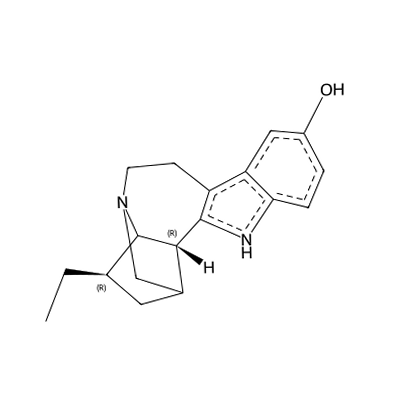 CC[C@@H]1CC2CN3CCc4c([nH]c5ccc(O)cc45)[C@H]2C13